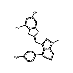 Cn1cc(C=C2Cc3c(O)cc(O)cc3O2)c2c(-c3ccc(N)cc3)cccc21